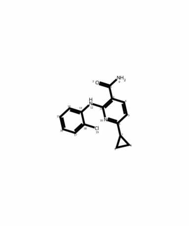 NC(=O)c1ccc(C2CC2)nc1Nc1ccccc1Cl